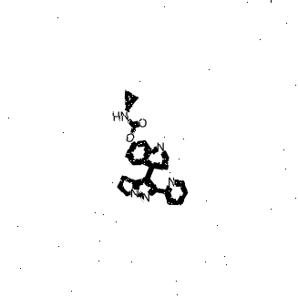 O=C(NC1CC1)Oc1ccc2c(-c3c(-c4ccccn4)nn4c3CCC4)ccnc2c1